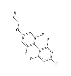 C=CCOc1cc(F)c(-c2c(F)cc(F)cc2F)c(F)c1